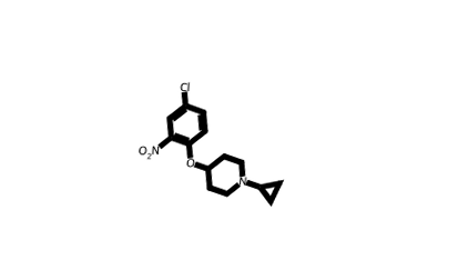 O=[N+]([O-])c1cc(Cl)ccc1OC1CCN(C2CC2)CC1